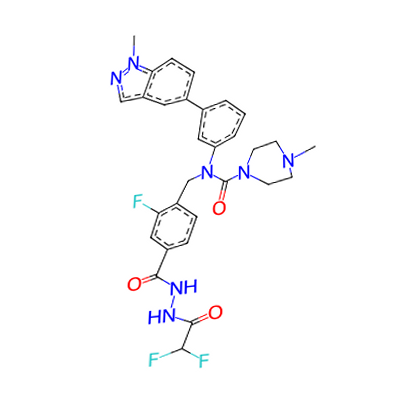 CN1CCN(C(=O)N(Cc2ccc(C(=O)NNC(=O)C(F)F)cc2F)c2cccc(-c3ccc4c(cnn4C)c3)c2)CC1